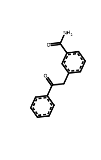 NC(=O)c1cccc(CC(=O)c2ccccc2)c1